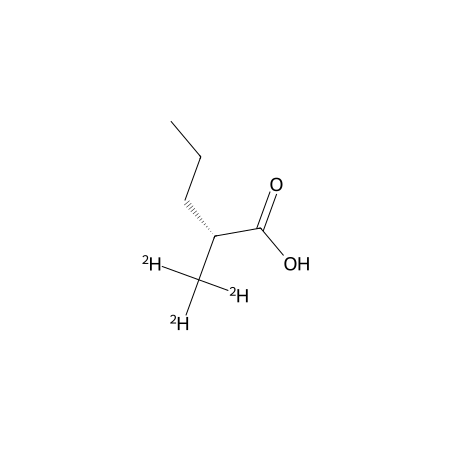 [2H]C([2H])([2H])[C@H](CCC)C(=O)O